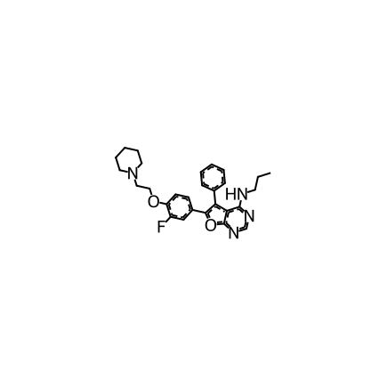 CCCNc1ncnc2oc(-c3ccc(OCCN4CCCCC4)c(F)c3)c(-c3ccccc3)c12